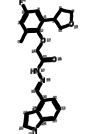 Cc1cc(F)cc(C2CCOC2)c1OCC(=O)N/N=C/c1cccc2[nH]ccc12